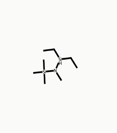 CC[SiH](CC)N(C)[Si](C)(C)C